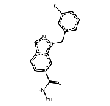 O=C(NO)c1ccc2cnn(Cc3cccc(F)c3)c2c1